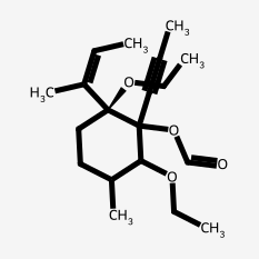 CC#CC1(OC=O)C(OCC)C(C)CC[C@]1(OCC)/C(C)=C\C